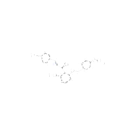 CCc1ccc(/C=C/C(=O)c2c(O)cccc2OCc2ccc(OC(F)(F)F)cc2)cc1